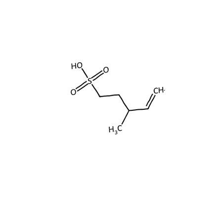 [CH]=CC(C)CCS(=O)(=O)O